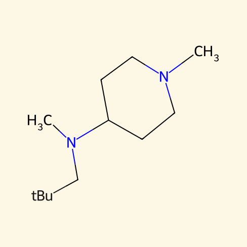 CN1CCC(N(C)CC(C)(C)C)CC1